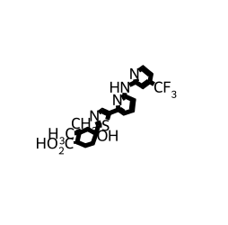 CC1(C)C[C@@](O)(c2ncc(-c3cccc(Nc4cc(C(F)(F)F)ccn4)n3)s2)CC[C@H]1C(=O)O